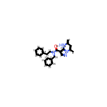 C=C1C=C(C)n2ncc(C(=O)N(CCc3ccccc3)Cc3ccccc3)c2N1